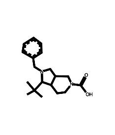 CC(C)(C)C1C2CCN(C(=O)O)CC2CN1Cc1ccccc1